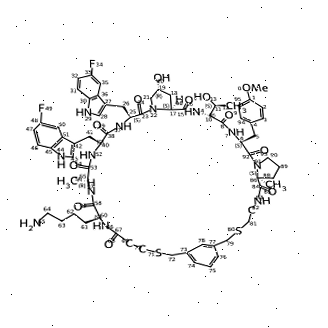 COc1ccc(C[C@@H]2NC(=O)[C@@H]([C@H](C)O)NC(=O)[C@@H]3C[C@@H](O)CN3C(=O)[C@H](Cc3c[nH]c4ccc(F)cc34)NC(=O)[C@H](Cc3c[nH]c4ccc(F)cc34)NC(=O)[C@@H](C)NC(=O)[C@H](CCCCN)NC(=O)CCSCc3cccc(c3)CSCCNC(=O)[C@]3(C)CCCN3C2=O)cc1